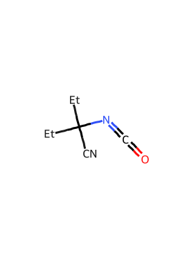 CCC(C#N)(CC)N=C=O